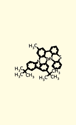 Cc1cc2c3c(c1)-n1c4ccc(C(C)(C)C)cc4c4cc(C(C)(C)C)cc(c41)B3N1c3ccccc3Sc3cccc-2c31